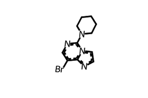 Brc1cnc(N2CCCCC2)n2ccnc12